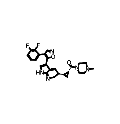 CN1CCN(C(=O)[C@@H]2C[C@H]2C2C=c3c(-c4oncc4-c4cccc(F)c4F)c[nH]c3=NC2)CC1